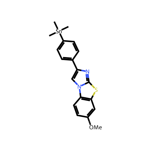 COc1ccc2c(c1)sc1nc(-c3cc[c]([Sn]([CH3])([CH3])[CH3])cc3)cn12